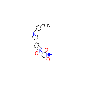 N#CCc1ccc(CN2CCC(c3ccc4c(c3)CN(C3CCC(=O)NC3=O)C4=O)CC2)cc1